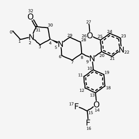 CCN1C[C@H](N2CCC(N(c3ccc(OC(F)F)cc3)c3cnccc3OC)CC2)CC1=O